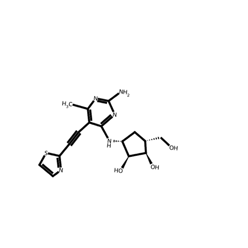 Cc1nc(N)nc(N[C@@H]2C[C@H](CO)[C@@H](O)[C@H]2O)c1C#Cc1nccs1